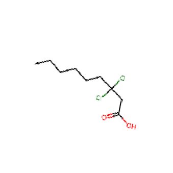 CCCCCCC(Cl)(Cl)CC(=O)O